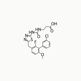 COc1ccc(Cc2nnc(NC(=O)NCCC(=O)O)s2)c(F)c1-c1cccc(Cl)c1